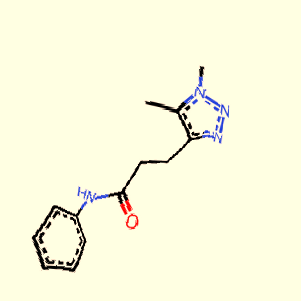 Cc1c(CCC(=O)Nc2ccccc2)nnn1C